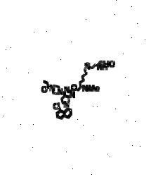 C=CC(=O)N1CCN(c2nc(OCC(CCCCCN(C)CCNC=O)NC)nc3c2CCN(c2cccc4cccc(Cl)c24)C3)CC1